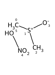 C[S+](C)[O-].O=[N+]([O-])O